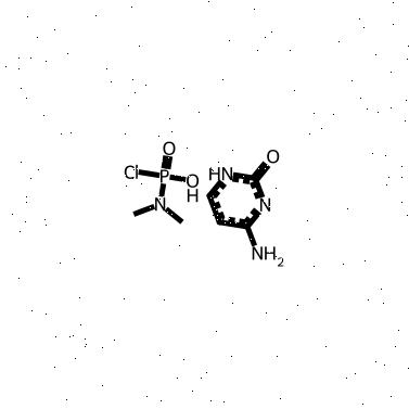 CN(C)P(=O)(O)Cl.Nc1cc[nH]c(=O)n1